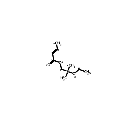 CC=CC(=O)OC[Si](C)(C)OCC